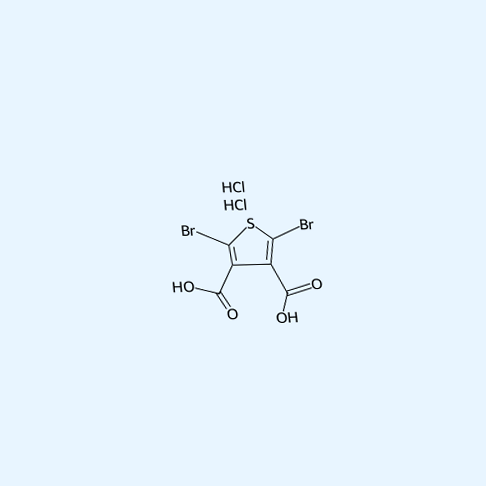 Cl.Cl.O=C(O)c1c(Br)sc(Br)c1C(=O)O